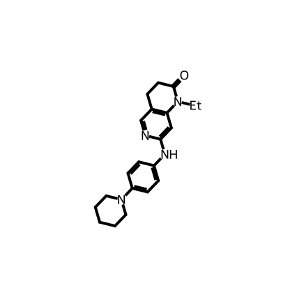 CCN1C(=O)CCc2cnc(Nc3ccc(N4CCCCC4)cc3)cc21